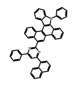 c1ccc(-c2cc(-c3cccc4ccccc34)nc(-c3cc4c5ccccc5c5c(c6ccccc6n5-c5ccccc5)c4c4ccccc34)n2)cc1